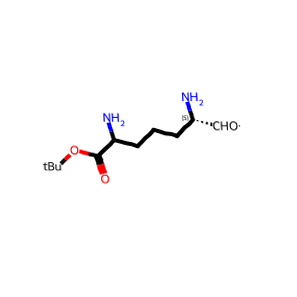 CC(C)(C)OC(=O)C(N)CCC[C@H](N)[C]=O